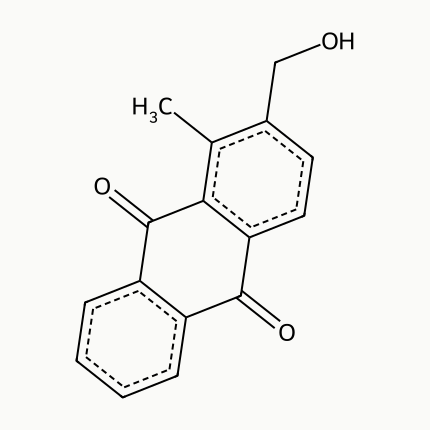 Cc1c(CO)ccc2c1C(=O)c1ccccc1C2=O